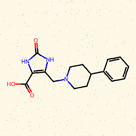 O=C(O)c1[nH]c(=O)[nH]c1CN1CCC(c2ccccc2)CC1